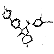 COc1ccc(C(=O)C2CC3(CCNCC3)C(=O)N2c2ccc(-c3cn[nH]c3)cc2)cc1F